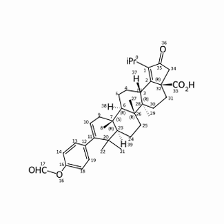 CC(C)C1=C2[C@H]3CC[C@@H]4[C@@]5(C)CC=C(c6ccc(OC=O)cc6)C(C)(C)[C@@H]5CC[C@@]4(C)[C@]3(C)CC[C@@]2(C(=O)O)CC1=O